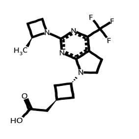 C[C@H]1CCN1c1nc2c(c(C(F)(F)F)n1)CCN2[C@H]1C[C@H](CC(=O)O)C1